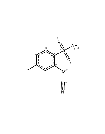 Cc1ccc(S(N)(=O)=O)c(OC#N)c1